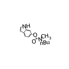 CCCCN(C)C(=O)Oc1ccc2cc[nH]c2c1